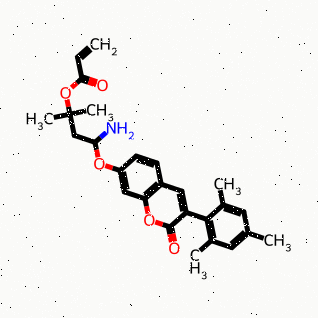 C=CC(=O)OC(C)(C)CC(N)Oc1ccc2cc(-c3c(C)cc(C)cc3C)c(=O)oc2c1